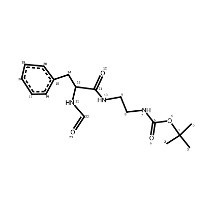 CC(C)(C)OC(=O)NCCNC(=O)C(Cc1ccccc1)NC=O